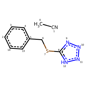 CC#N.c1ccc(CSc2nnn[nH]2)cc1